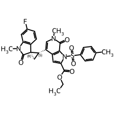 CCOC(=O)c1cc2c([C@@H]3C[C@@]34C(=O)N(C)c3cc(F)ccc34)cn(C)c(=O)c2n1S(=O)(=O)c1ccc(C)cc1